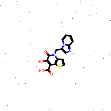 O=C(O)c1c(O)c(=O)n(Cc2cnc3ccccn23)c2ccsc12